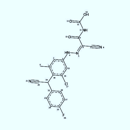 Cc1cc(NN=C(C#N)C(=O)NC(=O)O)cc(Cl)c1C(C#N)c1ccc(F)cc1